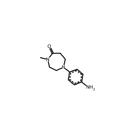 CN1CCN(c2ccc(N)cc2)CCC1=O